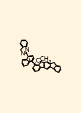 CC1(C)c2cc3c(cc2-c2cccc(-c4ccc(-c5ncc6ccccc6n5)c5ccccc45)c21)-c1ccccc1C3